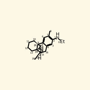 CCNc1cc2c(cc1C)[C@@]13CCCC[C@@H]1[C@@H](C2)N(C)CC3